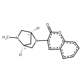 CN1C[C@@H]2C[C@H]1CN2c1cc2ccccc2oc1=O